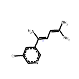 NC(N)=C/C=C(\N)c1cncc(Cl)c1